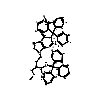 COCC(CCN1CNc2c1nc(N)n(C(c1ccccc1)(c1ccccc1)c1ccccc1OC)c2=O)C(O)OC(c1ccccc1)(c1ccccc1)c1ccccc1